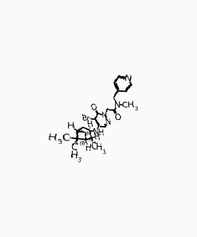 C[C@@H]1[C@H]2C[C@@H](C[C@H]1Nc1cnn(CC(=O)N(C)Cc3ccncc3)c(=O)c1Br)C2(C)C